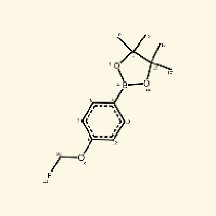 CC1(C)OB(c2ccc(OCF)cc2)OC1(C)C